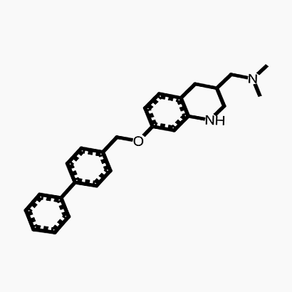 CN(C)CC1CNc2cc(OCc3ccc(-c4ccccc4)cc3)ccc2C1